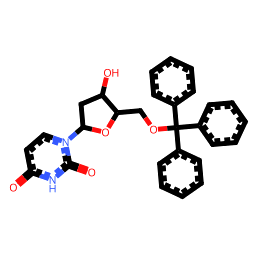 O=c1ccn(C2CC(O)C(COC(c3ccccc3)(c3ccccc3)c3ccccc3)O2)c(=O)[nH]1